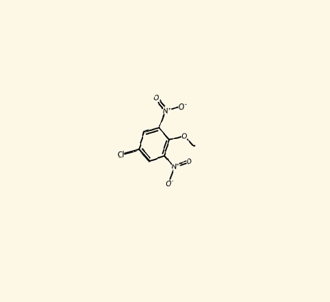 COc1c([N+](=O)[O-])cc(Cl)cc1[N+](=O)[O-]